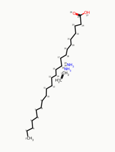 C=C.CCCCCCCCCCCCCCCCCCCCCCCC(=O)O.N.N